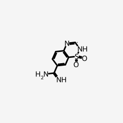 N=C(N)c1ccc2c(c1)S(=O)(=O)N[C]=N2